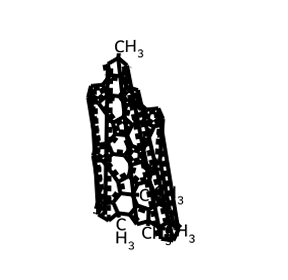 CC12C3=C4C5(C)c6c1c1c7c2c2c8c9c%10c%11c%12c%13c%14c%15c%16c%17c(c5c5c6c6c1c1c%18c7c8c7c8c9c%12c9c%12c%13c%16c%13c%16c%17c5c5c6c1c1c(c%187)c(c89)c(c%12%13)c1c5%16)C%15(C)C4(C)C(=C3C2%10C)C%11%14C